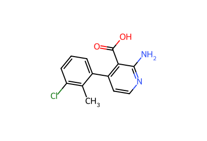 Cc1c(Cl)cccc1-c1ccnc(N)c1C(=O)O